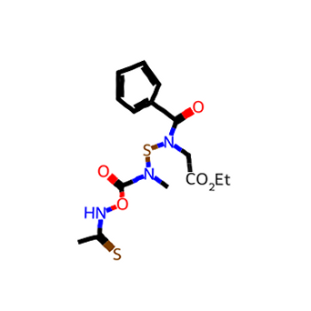 CCOC(=O)CN(SN(C)C(=O)ONC(C)=S)C(=O)c1ccccc1